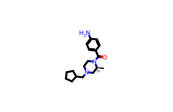 C[C@H]1CN(CC2CCCC2)CCN1C(=O)c1ccc(N)cc1